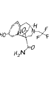 NC(=O)C1C[C@]23CCN(CC(F)(F)F)[C@H](Cc4ccc(O)cc42)[C@]3(O)C1